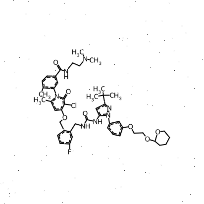 Cc1ccc(C(=O)NCCN(C)C)cc1-n1c(C)cc(OCc2ccc(F)cc2CNC(=O)Nc2cc(C(C)(C)C)nn2-c2cccc(OCCOC3CCCCO3)c2)c(Cl)c1=O